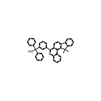 CC1(C)c2ccccc2-c2ccc3c(-c4cccc(C(O)(c5ccccc5)c5ccccc5)c4)nc4ccccc4c3c21